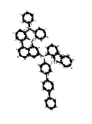 c1ccc(-c2ccc(-c3ccc(N(c4cc5c6c(cccc6c4)-c4cccc(N(c6ccccc6)c6ccccc6)c4O5)c4cccc5c4oc4ccccc45)cc3)cc2)cc1